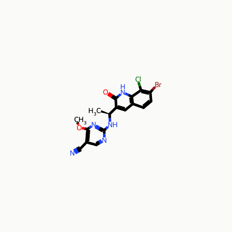 COc1nc(N[C@@H](C)c2cc3ccc(Br)c(Cl)c3[nH]c2=O)ncc1C#N